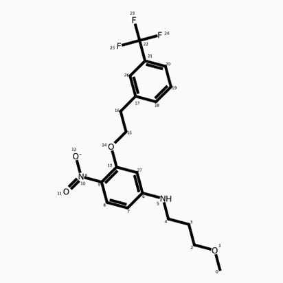 COCCCNc1ccc([N+](=O)[O-])c(OCCc2cccc(C(F)(F)F)c2)c1